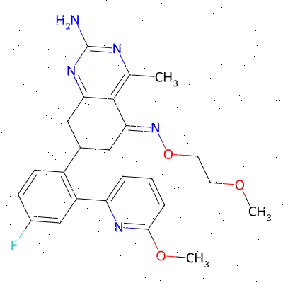 COCCON=C1CC(c2ccc(F)cc2-c2cccc(OC)n2)Cc2nc(N)nc(C)c21